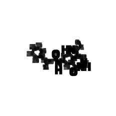 CCc1[nH]c2cc(NC(=O)[C@@H]3C[C@H]3c3ccccc3)cc3c2c1C=NNC3=O